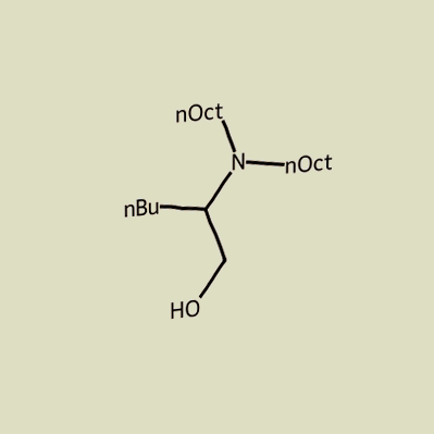 CCCCCCCCN(CCCCCCCC)C(CO)CCCC